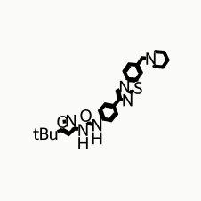 CC(C)(C)c1cc(NC(=O)Nc2ccc(-c3cn4c(n3)sc3cc(CN5CCCCC5)ccc34)cc2)no1